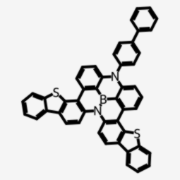 c1ccc(-c2ccc(N3c4cccc5c4B4c6c(cccc63)-c3c(ccc6c3sc3ccccc36)N4c3ccc4c(sc6ccccc64)c3-5)cc2)cc1